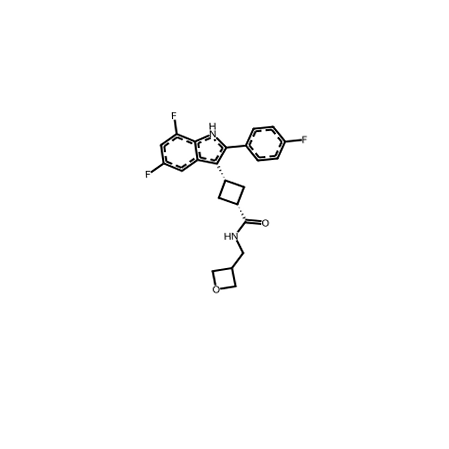 O=C(NCC1COC1)[C@H]1C[C@@H](c2c(-c3ccc(F)cc3)[nH]c3c(F)cc(F)cc32)C1